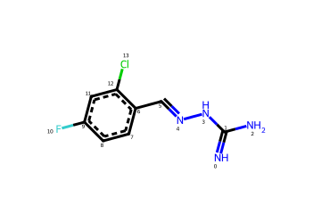 N=C(N)NN=Cc1ccc(F)cc1Cl